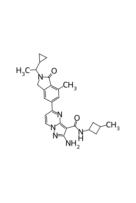 Cc1cc(-c2ccn3nc(N)c(C(=O)NC4CC(C)C4)c3n2)cc2c1C(=O)N(C(C)C1CC1)C2